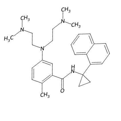 Cc1ccc(N(CCN(C)C)CCN(C)C)cc1C(=O)NC1(c2cccc3ccccc23)CC1